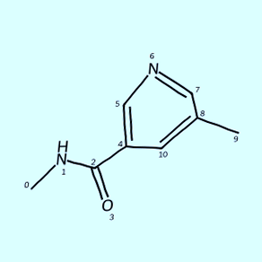 CNC(=O)c1cncc(C)c1